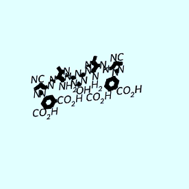 [C-]#[N+]c1cnn(-c2ccc(C(=O)O)c(C(=O)O)c2)c1N=Nc1c(C)nn(-c2nc(O)nc(-n3nc(C)c(N=Nc4c(C#N)cnn4-c4ccc(C(=O)O)c(C(=O)O)c4)c3N)n2)c1N